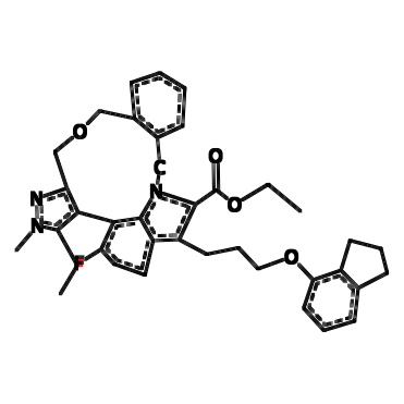 CCOC(=O)c1c(CCCOc2cccc3c2CCC3)c2ccc(F)c3c2n1Cc1ccccc1COCc1nn(C)c(CC)c1-3